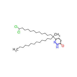 CCCCCCCCCCCCCC(C)(CCCCCCCCCCCC(Cl)Cl)c1ccc(=O)[nH]n1